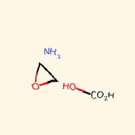 C1CO1.N.O=C(O)O